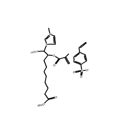 C=C(C)C(=O)OC(CCCCCCCC(=O)OC)C(CCCCCCCC)n1cc[n+](C)c1.C=Cc1ccc(S(=O)(=O)[O-])cc1